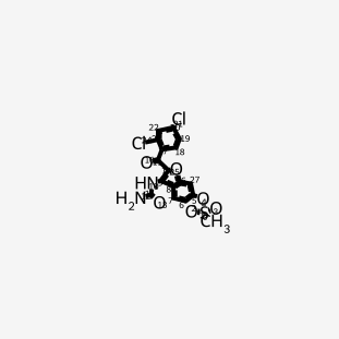 CS(=O)(=O)Oc1ccc2c(NC(N)=O)c(C(=O)c3ccc(Cl)cc3Cl)oc2c1